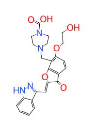 O=C1C(=Cc2n[nH]c3ccccc23)Oc2c1ccc(OCCO)c2CN1CCN(C(=O)O)CC1